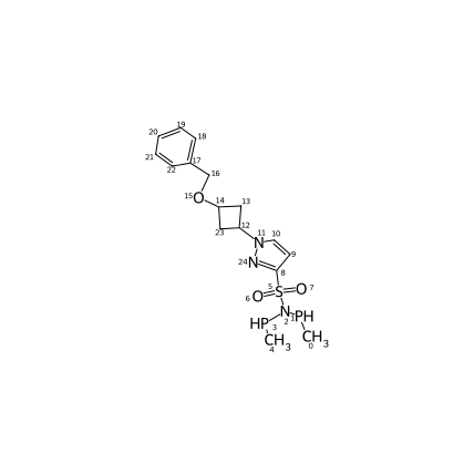 CPN(PC)S(=O)(=O)c1ccn(C2CC(OCc3ccccc3)C2)n1